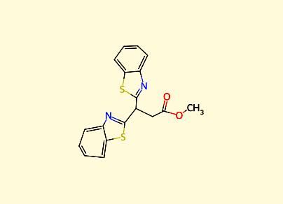 COC(=O)CC(c1nc2ccccc2s1)c1nc2ccccc2s1